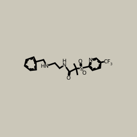 CC(C)(C(=O)NCCNCc1ccccc1)S(=O)(=O)c1ccc(C(F)(F)F)cn1